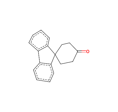 O=C1CCC2(CC1)c1ccccc1-c1ccccc12